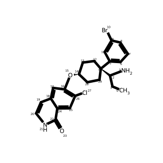 CCC(N)[C@]1(c2cccc(Br)c2)CC[C@@H](Oc2cc3cc[nH]c(=O)c3cc2Cl)CC1